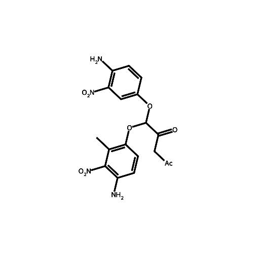 CC(=O)CC(=O)C(Oc1ccc(N)c([N+](=O)[O-])c1)Oc1ccc(N)c([N+](=O)[O-])c1C